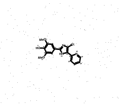 CCc1nc(-c2cc(OC)c(O)c(OC)c2)[nH]c1-c1ccccn1